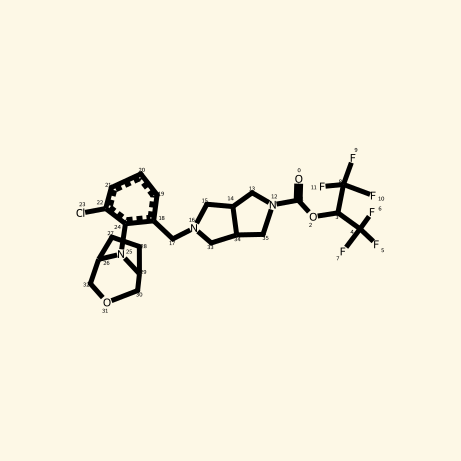 O=C(OC(C(F)(F)F)C(F)(F)F)N1CC2CN(Cc3cccc(Cl)c3N3C4CCC3COC4)CC2C1